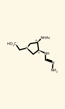 CC(=O)N[C@@H]1CN(CC(=O)O)C[C@@H]1NC=NN